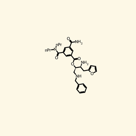 CCCN(CCC)C(=O)c1cc(C(N)=O)cc(C(=O)O[C@H](CNCc2ccccc2)[C@@H](N)Cc2ccco2)c1